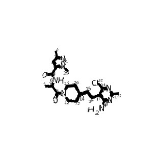 Cc1cc(C(=O)NC(C)C(=O)N2CCC(CCc3c(N)nc(C)nc3Cl)CC2)n(C)n1